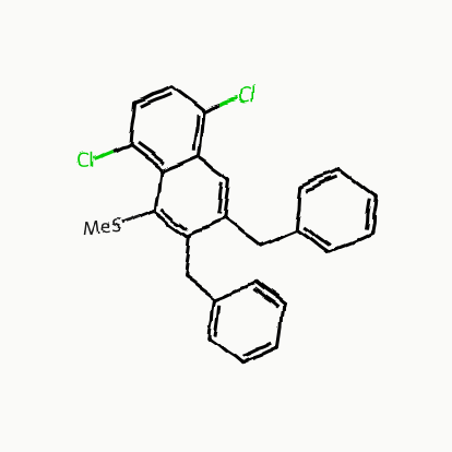 CSc1c(Cc2ccccc2)c(Cc2ccccc2)cc2c(Cl)ccc(Cl)c12